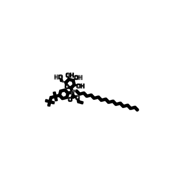 CCCCCCCCCCCCCCCCCC[N+](C(=O)OCC)(C1CCC(C(C)(C)CC(C)(C)C)CC1)C1O[C@H](CO)[C@@H](O)[C@H](O)[C@H]1O